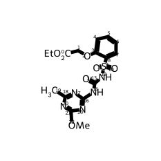 CCOC(=O)COc1ccccc1S(=O)(=O)NC(=O)Nc1nc(C)nc(OC)n1